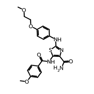 COCCOc1ccc(Nc2nc(C(N)=O)c(NC(=O)c3ccc(OC)cc3)s2)cc1